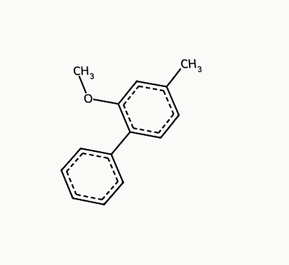 COc1cc(C)ccc1-c1ccccc1